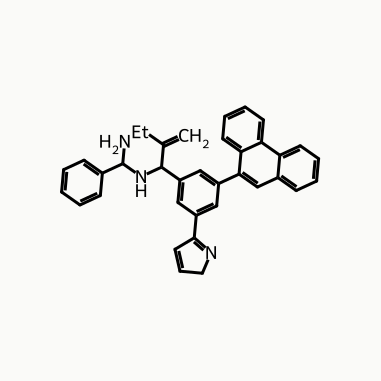 C=C(CC)C(NC(N)c1ccccc1)c1cc(C2=NCC=C2)cc(-c2cc3ccccc3c3ccccc23)c1